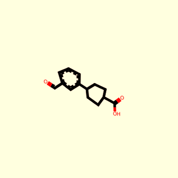 O=Cc1cccc(C2CCC(C(=O)O)CC2)c1